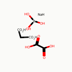 O=C(O)C(=O)O.O=C(O)CC(=O)O.OB(O)O.[NaH]